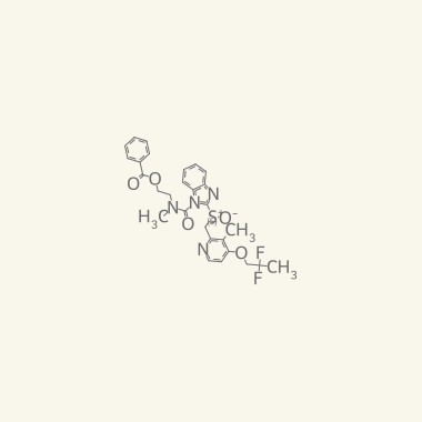 Cc1c(OCC(C)(F)F)ccnc1C[S@@+]([O-])c1nc2ccccc2n1C(=O)N(C)CCOC(=O)c1ccccc1